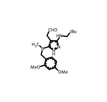 COc1ccc(CN(C)c2[nH]nc(NCC(C)(C)C)c2CC=O)c(OC)c1